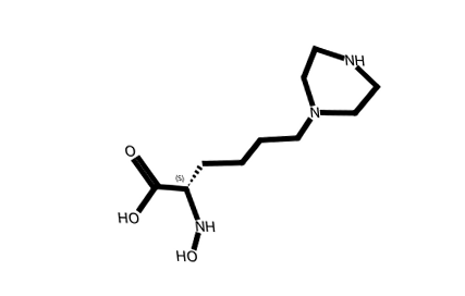 O=C(O)[C@H](CCCCN1CCNCC1)NO